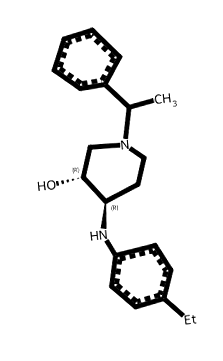 CCc1ccc(N[C@@H]2CCN(C(C)c3ccccc3)C[C@H]2O)cc1